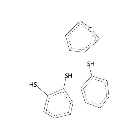 Sc1ccccc1.Sc1ccccc1S.c1ccccc1